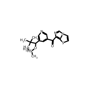 C[SiH](C)OC(c1cncc(C(=O)c2ncn3ccsc23)c1)C(C)(C)C